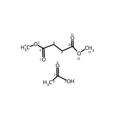 CC(=O)O.COC(=O)CCC(=O)OC